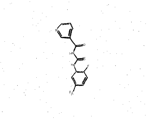 O=C(NC(=S)Nc1cc(C(F)(F)F)ccc1F)c1cccnc1